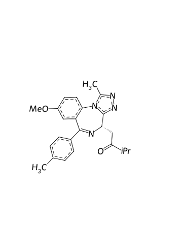 COc1ccc2c(c1)C(c1ccc(C)cc1)=N[C@@H](CC(=O)C(C)C)c1nnc(C)n1-2